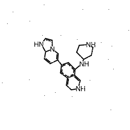 C1=CN2C=C(c3cc(NC4CCNCC4)c4c(c3)=CCNC=4)C=CC2N1